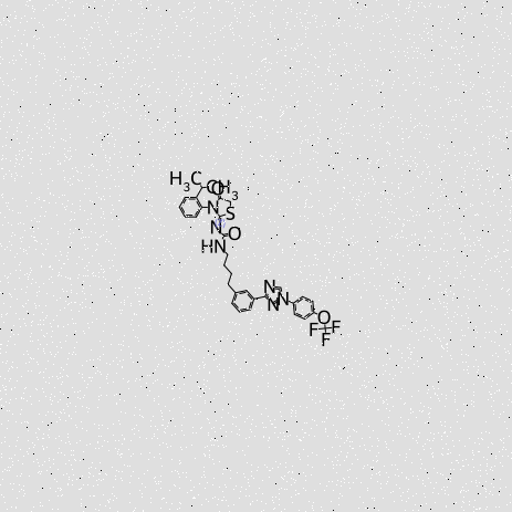 CC(C)c1ccccc1N1C(=O)CS/C1=N\C(=O)NCCCCc1cccc(-c2ncn(-c3ccc(OC(F)(F)F)cc3)n2)c1